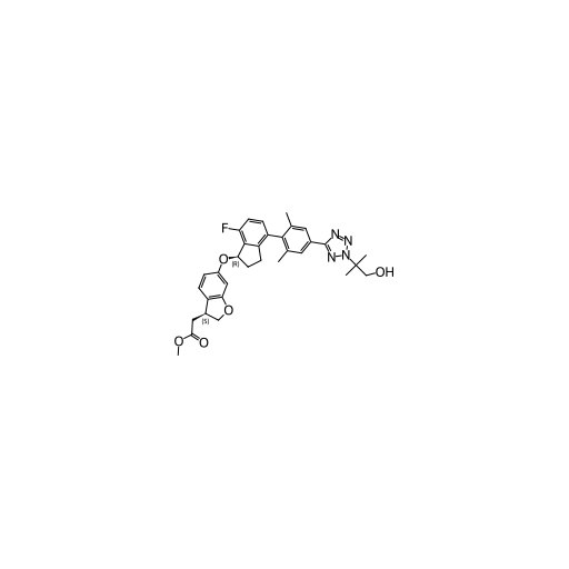 COC(=O)C[C@@H]1COc2cc(O[C@@H]3CCc4c(-c5c(C)cc(-c6nnn(C(C)(C)CO)n6)cc5C)ccc(F)c43)ccc21